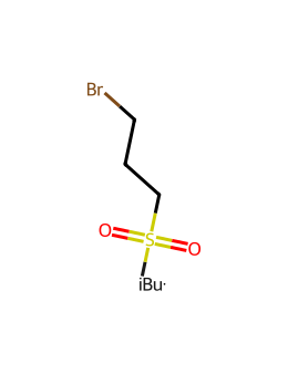 CC[C](C)S(=O)(=O)CCCBr